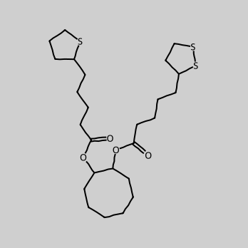 O=C(CCCCC1CCCS1)OC1CCCCCCC1OC(=O)CCCCC1CCSS1